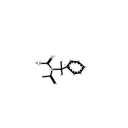 C=C(C)N(C(N)=O)C(C)(C)c1ccccc1